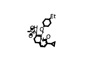 CCC1CCC(OC[C@H]2[C@@H](NS(C)(=O)=O)CCc3ccc(C4CC4)c(=O)n32)CC1